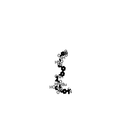 Cc1ncsc1-c1ccc(CNC(=O)[C@@H]2C[C@@H](O)CN2C(=O)[C@@H](NC(=O)C2CC2C(=O)NCc2cccc(-c3cccc(-c4csc(NC(=O)CNC(=O)c5ccn(S(C)(=O)=O)c5)n4)c3)c2)C(C)(C)C)cc1